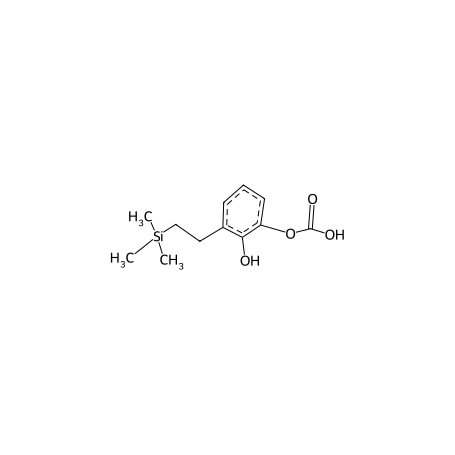 C[Si](C)(C)CCc1cccc(OC(=O)O)c1O